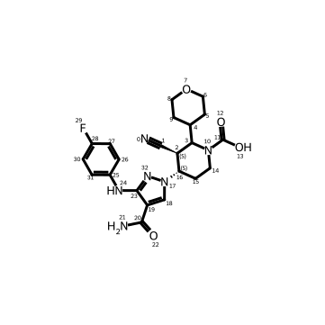 N#C[C@H]1C(C2CCOCC2)N(C(=O)O)CC[C@@H]1n1cc(C(N)=O)c(Nc2ccc(F)cc2)n1